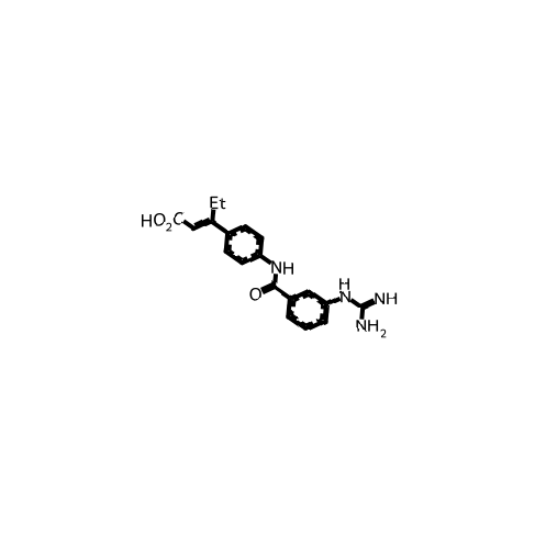 CCC(=CC(=O)O)c1ccc(NC(=O)c2cccc(NC(=N)N)c2)cc1